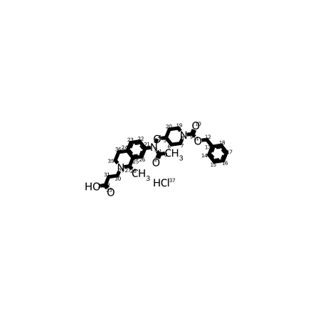 CC(=O)N(OC1CCN(C(=O)OCc2ccccc2)CC1)c1ccc2c(c1)C(C)N(CCC(=O)O)CC2.Cl